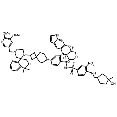 COc1cc(CN2CCN(C3CC4(CCN(c5ccc(C(=O)NS(=O)(=O)c6ccc(NCC7CCC(C)(O)CC7)c([N+](=O)[O-])c6)c(N6c7cc8cc[nH]c8nc7O[C@H]7COCC[C@@H]76)c5)CC4)C3)[C@@]3(COC(C)(C)c4ccccc43)C2)cnc1OC